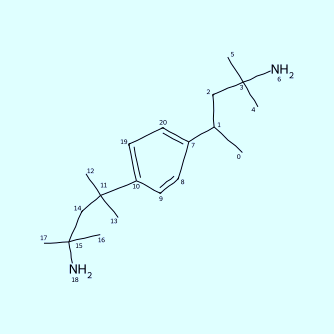 CC(CC(C)(C)N)c1ccc(C(C)(C)CC(C)(C)N)cc1